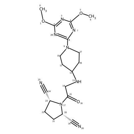 COc1nc(OC)nc(N2CCC(NCC(=O)N3[C@H](C#N)CC[C@@H]3C#N)CC2)n1